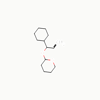 C=CC(OC1CCCCO1)C1CCCCC1